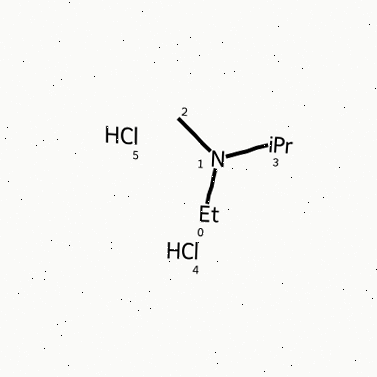 CCN(C)C(C)C.Cl.Cl